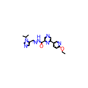 CCOc1ccc(-c2cncc(C(=O)N/N=C/c3cncn3C(C)C)n2)cn1